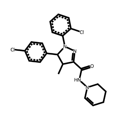 CC1C(C(=O)NN2C=CCCC2)=NN(c2ccccc2Cl)C1c1ccc(Cl)cc1